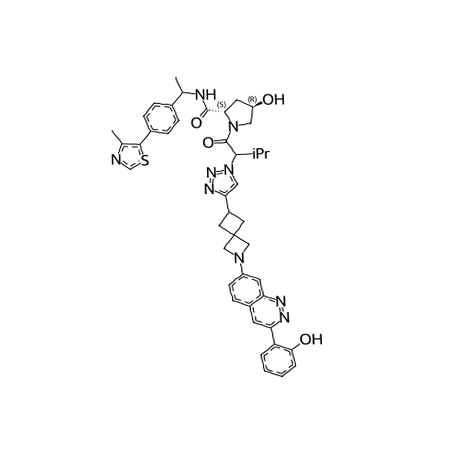 Cc1ncsc1-c1ccc(C(C)NC(=O)[C@@H]2C[C@@H](O)CN2C(=O)C(C(C)C)n2cc(C3CC4(C3)CN(c3ccc5cc(-c6ccccc6O)nnc5c3)C4)nn2)cc1